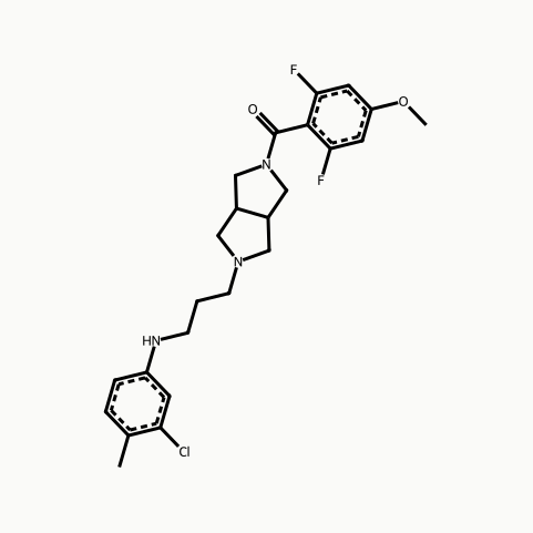 COc1cc(F)c(C(=O)N2CC3CN(CCCNc4ccc(C)c(Cl)c4)CC3C2)c(F)c1